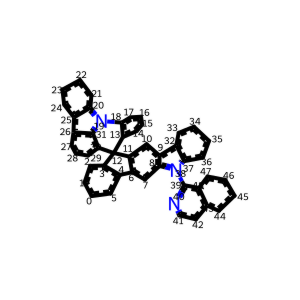 c1ccc2c(c1)-c1cc3c(cc1C21c2ccccc2-n2c4ccccc4c4cccc1c42)c1ccccc1n3-c1nccc2ccccc12